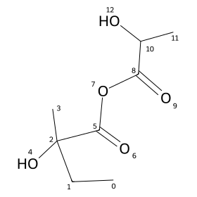 CCC(C)(O)C(=O)OC(=O)C(C)O